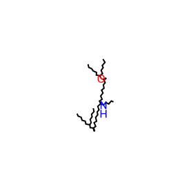 C=C(CCCCCCCCC(CCCCCCCCC(=C)OC(CCCCCC)CCCCCC)NCCCC)CC(CCCCCC)CCCCCC